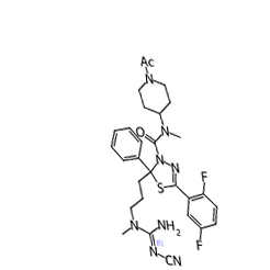 CC(=O)N1CCC(N(C)C(=O)N2N=C(c3cc(F)ccc3F)SC2(CCCN(C)/C(N)=N/C#N)c2ccccc2)CC1